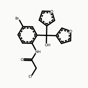 O=C(CCl)Nc1ccc(Br)cc1C(O)(c1ccoc1)c1ccoc1